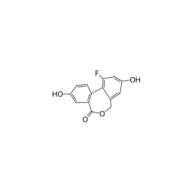 O=C1OCc2cc(O)cc(F)c2-c2ccc(O)cc21